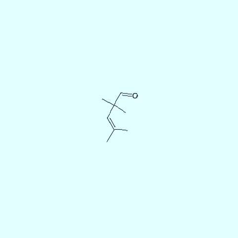 CC(C)=CC(C)(C)C=O